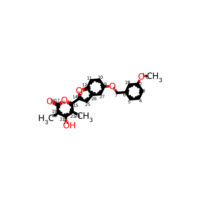 COc1cccc(COc2ccc3oc(-c4oc(=O)c(C)c(O)c4C)cc3c2)c1